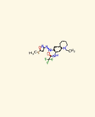 CCN1CCCCc2cc(N=Nc3cc(SC)on3)c(NC(=O)C(F)(F)F)cc21